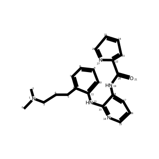 CN(C)CCCc1ccccc1Nc1ncccc1NC(=O)c1ccccn1